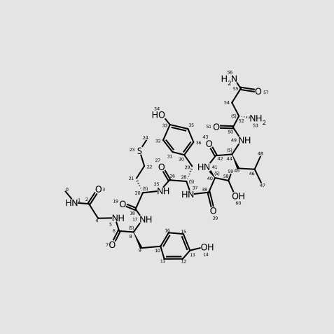 CNC(=O)CNC(=O)[C@H](Cc1ccc(O)cc1)NC(=O)[C@H](CCSC)NC(=O)[C@H](Cc1ccc(O)cc1)NC(=O)[C@@H](NC(=O)[C@H](CC(C)C)NC(=O)[C@@H](N)CC(N)=O)C(C)O